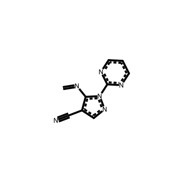 C=Nc1c(C#N)cnn1-c1ncccn1